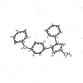 Cn1nc(-c2ccccc2)c(-c2ccc(Oc3ccccc3)cc2)n1